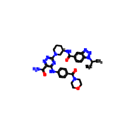 CC(C)n1nnc2cc(C(=O)N[C@@H]3CCCN(c4nnc(C(N)=O)c(Nc5ccc(C(=O)N6CCOCC6)cc5)n4)C3)ccc21